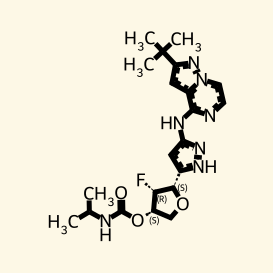 CC(C)NC(=O)O[C@H]1CO[C@@H](c2cc(Nc3nccn4nc(C(C)(C)C)cc34)n[nH]2)[C@H]1F